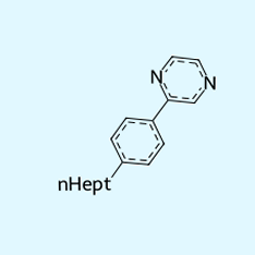 CCCCCCCc1ccc(-c2cnccn2)cc1